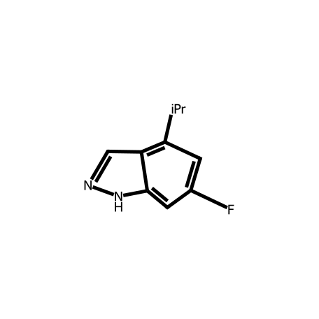 CC(C)c1cc(F)cc2[nH]ncc12